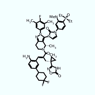 CCP(=O)(CC)c1ccc(-n2ccn(-c3c4c(nn3-c3cc(C)c(F)c(C)c3)CCN(C(=O)/C(=C/c3cc(C5CCC(F)(F)CC5)ccc3N)C[C@@]3(c5noc(=O)[nH]5)C[C@@H]3C)[C@H]4C)c2=O)cc1NC